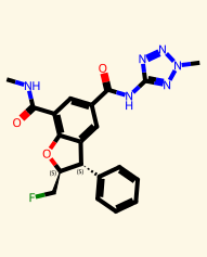 CNC(=O)c1cc(C(=O)Nc2nnn(C)n2)cc2c1O[C@H](CF)[C@H]2c1ccccc1